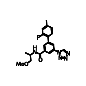 COCC(C)NC(=O)c1cc(-c2ccc(C)cc2F)cc(-n2cnnn2)c1